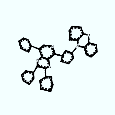 c1ccc(-c2nc3c(-c4ccccc4)cnc(-c4cccc(N5c6ccccc6Oc6ccccc65)c4)c3nc2-c2ccccc2)cc1